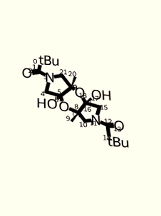 CC(C)(C)C(=O)N1C[C@@]2(O)O[C@@]3(C)CN(C(=O)C(C)(C)C)C[C@@]3(O)O[C@@]2(C)C1